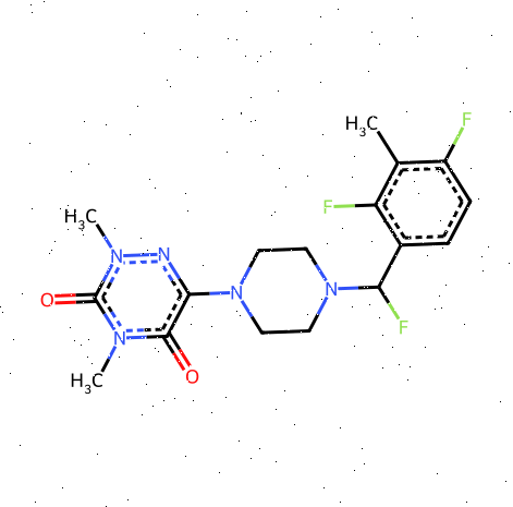 Cc1c(F)ccc(C(F)N2CCN(c3nn(C)c(=O)n(C)c3=O)CC2)c1F